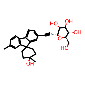 Cc1ccc2c(c1)C1(CCC(C)(O)CC1)c1cc(C#C[C@H]3O[C@H](CO)[C@@H](O)[C@H](O)[C@@H]3O)ccc1-2